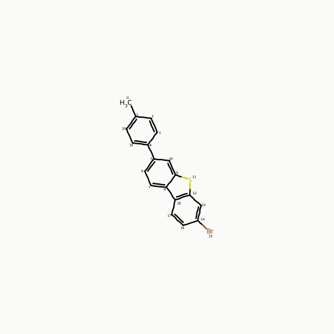 Cc1ccc(-c2ccc3c(c2)sc2cc(Br)ccc23)cc1